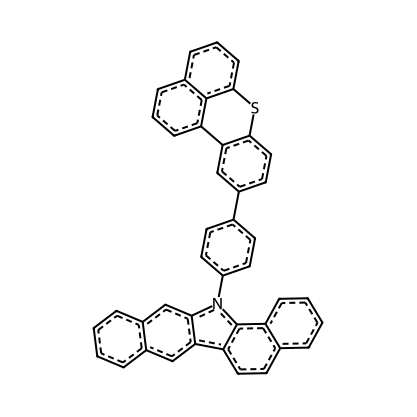 c1ccc2cc3c(cc2c1)c1ccc2ccccc2c1n3-c1ccc(-c2ccc3c(c2)-c2cccc4cccc(c24)S3)cc1